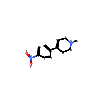 C=C(/C=C\C(=C)[N+](=O)[O-])C1=CCN(C)CC1